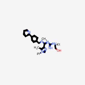 CC[C@H](CO)NC(=N)/N=C(\c1ncn(C(C)C)c1C)N(C)Cc1ccc(-c2ccccn2)cc1